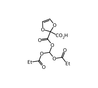 CCC(=O)OC(OC(=O)CC)OC(=O)C1(C(=O)O)OC=CO1